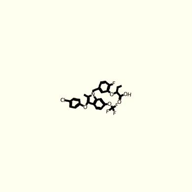 CCC(Oc1cc(Cn2c(C)c(Oc3ccc(Cl)cc3)c3ccc(OC(F)(F)F)cc32)ccc1F)C(=O)O